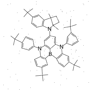 CC(C)(C)c1ccc(N2c3ccc(C(C)(C)C)cc3B3c4ccc(C(C)(C)C)cc4N(c4cccc(C(C)(C)C)c4)c4cc(N5c6ccc(C(C)(C)C)cc6C6(C)CCC56C)cc2c43)cc1